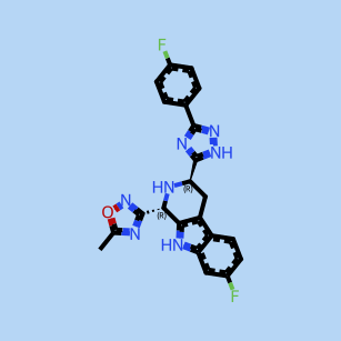 Cc1nc([C@@H]2N[C@@H](c3nc(-c4ccc(F)cc4)n[nH]3)Cc3c2[nH]c2cc(F)ccc32)no1